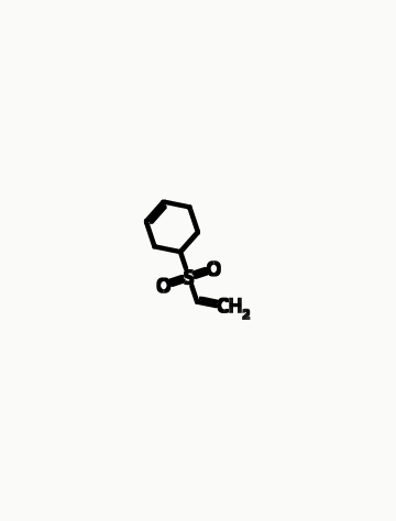 C=CS(=O)(=O)C1CC=CCC1